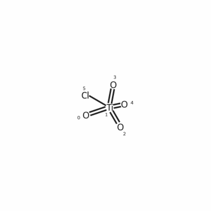 [O]=[Ti](=[O])(=[O])(=[O])[Cl]